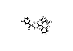 Cc1cncc(C(=O)N2CCC(=C3c4ccccc4CC(=O)c4sccc43)CC2)c1